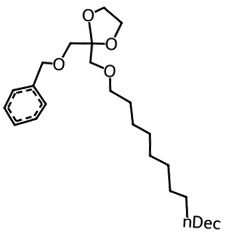 CCCCCCCCCCCCCCCCCCOCC1(COCc2ccccc2)OCCO1